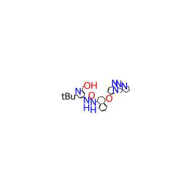 CN1CCCC1(C)c1nnc2ccc(O[C@@H]3CC[C@H](NC(=O)Nc4cc(CO)nc(C(C)(C)C)c4)c4ccccc43)cn12